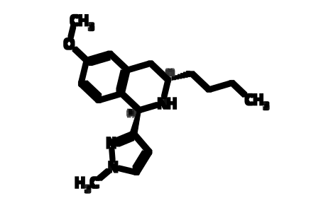 CCCC[C@H]1Cc2cc(OC)ccc2[C@H](c2ccn(C)n2)N1